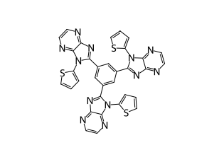 c1csc(-n2c(-c3cc(-c4nc5nccnc5n4-c4cccs4)cc(-c4nc5nccnc5n4-c4cccs4)c3)nc3nccnc32)c1